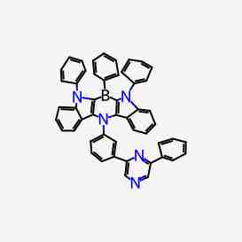 c1ccc(B2c3c(c4ccccc4n3-c3ccccc3)N(c3cccc(-c4cncc(-c5ccccc5)n4)c3)c3c2n(-c2ccccc2)c2ccccc32)cc1